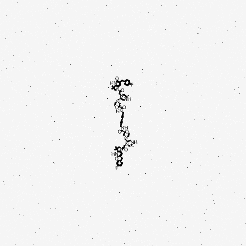 C[C@@H]1CN(CC(=O)N2CC(C)(C)c3[nH]c(=O)c(Cc4ccc(F)cc4)cc32)[C@@H](CN2CCO[C@H](C(=O)NCC#CC#CCNC(=O)[C@@H]3CN(C[C@H]4CN[C@H](C)CN4CC(=O)N4CC(C)(C)c5[nH]c(=O)c(Cc6ccc(F)cc6)cc54)CCO3)C2)CN1